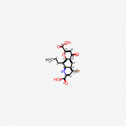 CCCc1c2nc(C(=O)O)cc(Br)c2cc2c(=O)cc(C(=O)O)oc12